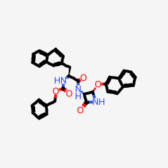 O=C(N[C@@H](Cc1ccc2ccccc2c1)C(=O)N[C@@H]1C(=O)N[C@@H]1Oc1ccc2ccccc2c1)OCc1ccccc1